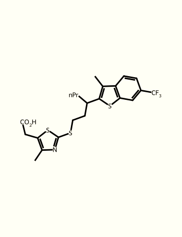 CCCC(CCSc1nc(C)c(CC(=O)O)s1)c1sc2cc(C(F)(F)F)ccc2c1C